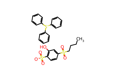 CCCCS(=O)(=O)c1ccc(S(=O)(=O)[O-])c(O)c1.c1ccc([S+](c2ccccc2)c2ccccc2)cc1